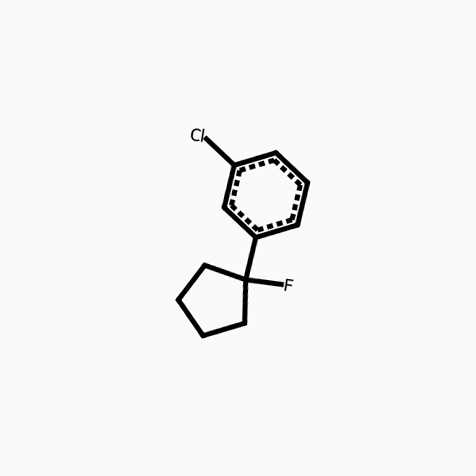 FC1(c2cccc(Cl)c2)CCCC1